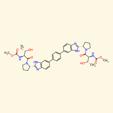 COC(=O)N[C@H](C(=O)N1CCC[C@H]1c1nc2ccc(-c3ccc(-c4ccc5nc([C@@H]6CCCN6C(=O)[C@@H](NC(=O)OC)[C@H](C)O)[nH]c5c4)cc3)cc2[nH]1)[C@H](C)O